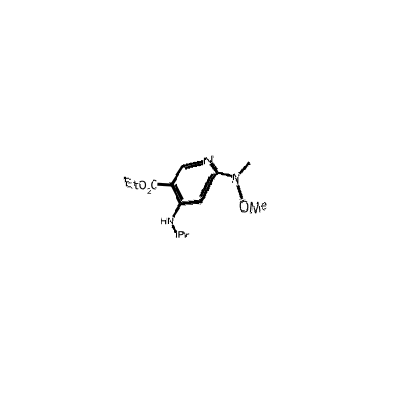 CCOC(=O)c1cnc(N(C)OC)cc1NC(C)C